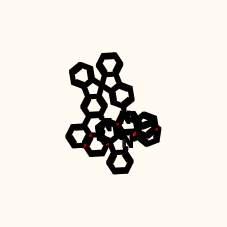 c1ccc(-c2cc3c(cc2N(c2ccccc2)c2ccccc2)C2(c4ccccc4-c4ccc(N(c5ccccc5)c5cccc6c7ccccc7n(-c7ccccc7)c56)cc42)c2ccccc2-3)cc1